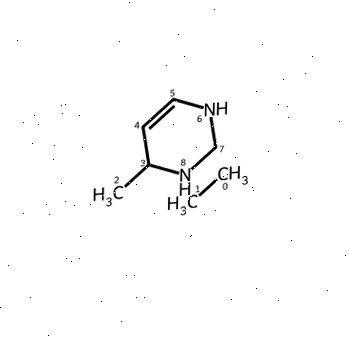 CC.CC1C=CNCN1